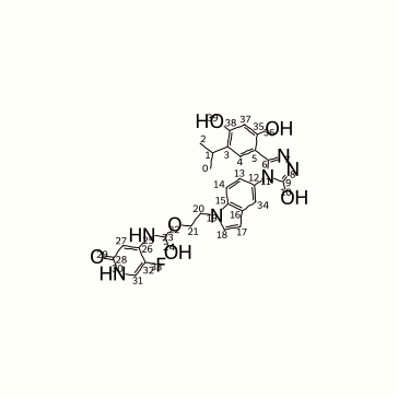 CC(C)c1cc(-c2nnc(O)n2-c2ccc3c(ccn3CCOC(O)Nc3cc(=O)[nH]cc3F)c2)c(O)cc1O